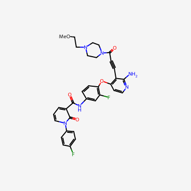 COCCN1CCN(C(=O)C#Cc2c(Oc3ccc(NC(=O)c4cccn(-c5ccc(F)cc5)c4=O)cc3F)ccnc2N)CC1